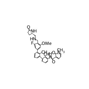 COc1cc(-c2cccc(-c3cccc(NC(=O)c4cccn(C)c4=O)c3C)c2C)cc(F)c1CNC[C@H]1CCC(=O)N1